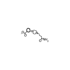 COC(=O)c1cccc(N2CCN(CCCC(N)=O)CC2)c1